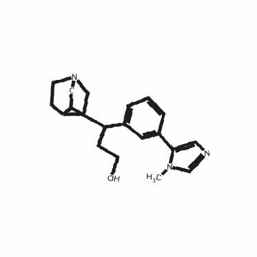 Cn1cncc1-c1cccc(C(CCO)C2CN3CCC2CC3)c1